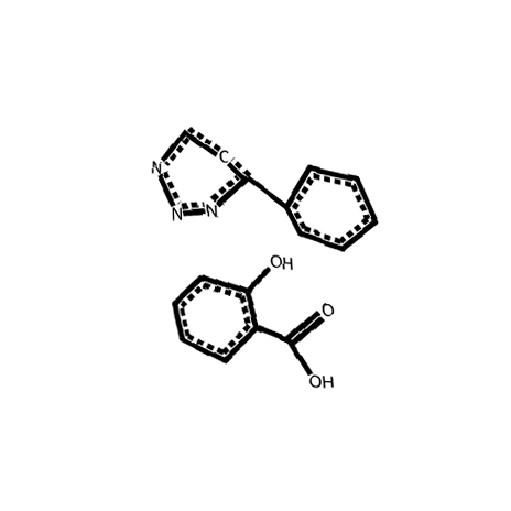 O=C(O)c1ccccc1O.c1ccc(-c2ccnnn2)cc1